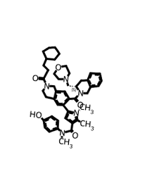 Cc1c(C(=O)N(C)c2ccc(O)cc2)cc(-c2cc3c(cc2C(=O)N2Cc4ccccc4C[C@H]2CN2CCOCC2)CN(C(=O)CCC2CCCCC2)CC3)n1C